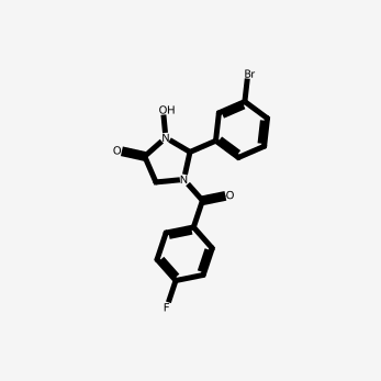 O=C1CN(C(=O)c2ccc(F)cc2)C(c2cccc(Br)c2)N1O